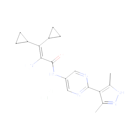 Cc1n[nH]c(C)c1-c1ncc(NC(=O)C(N)=C(C2CC2)C2CC2)cn1.Cl.Cl